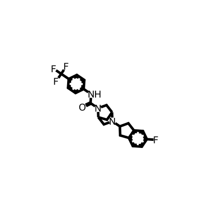 O=C(Nc1ccc(C(F)(F)F)cc1)N1CC2CC1CN2C1Cc2ccc(F)cc2C1